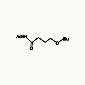 CCC(C)OCCCC(=O)NC(C)=O